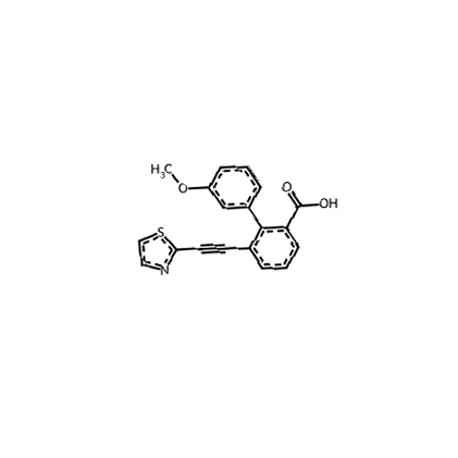 COc1cccc(-c2c(C#Cc3nccs3)cccc2C(=O)O)c1